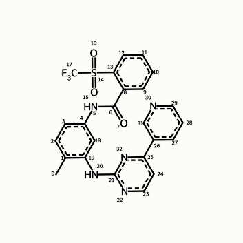 Cc1ccc(NC(=O)c2ccccc2S(=O)(=O)C(F)(F)F)cc1Nc1nccc(-c2cccnc2)n1